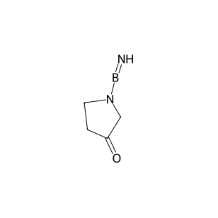 N=BN1CCC(=O)C1